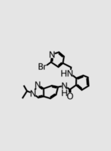 CC(C)n1cc2ccc(NC(=O)c3ccccc3NCc3ccnc(Br)c3)cc2n1